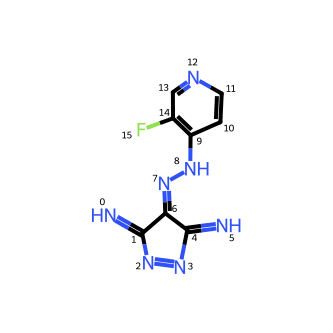 N=c1nnc(=N)c1=NNc1ccncc1F